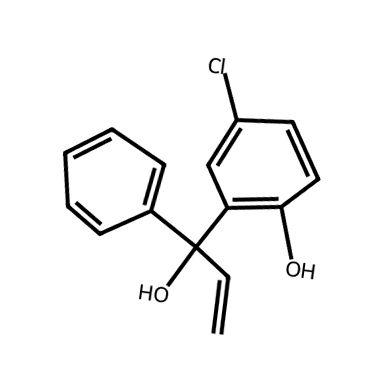 C=CC(O)(c1ccccc1)c1cc(Cl)ccc1O